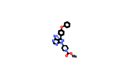 CC(C)(C)OC(=O)N1CCC(n2nc(-c3ccc(Oc4ccccc4)cc3)c3c(N)ncnc32)CC1